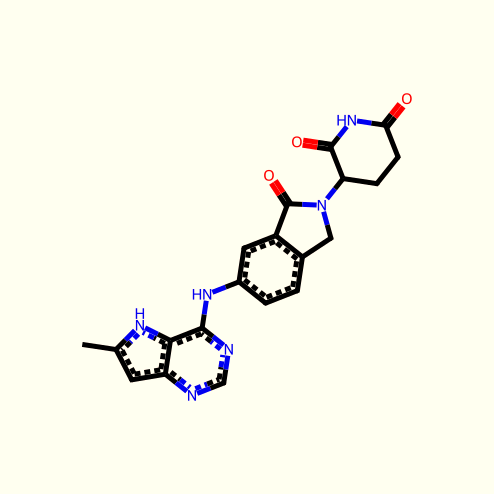 Cc1cc2ncnc(Nc3ccc4c(c3)C(=O)N(C3CCC(=O)NC3=O)C4)c2[nH]1